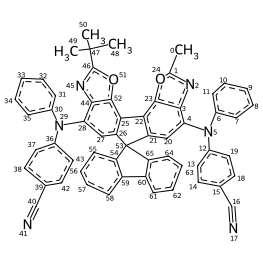 Cc1nc2c(N(c3ccccc3)c3ccc(C#N)cc3)cc3c(c2o1)-c1c(cc(N(c2ccccc2)c2ccc(C#N)cc2)c2nc(C(C)(C)C)oc12)C31c2ccccc2-c2ccccc21